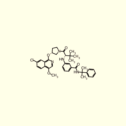 COc1cnc(O[C@@H]2CCN(C(=O)[C@@H](Nc3cccc(C(=O)NC(C)(C)c4ccccc4)c3)C(C)(C)C)C2)c2cc(Cl)ccc12